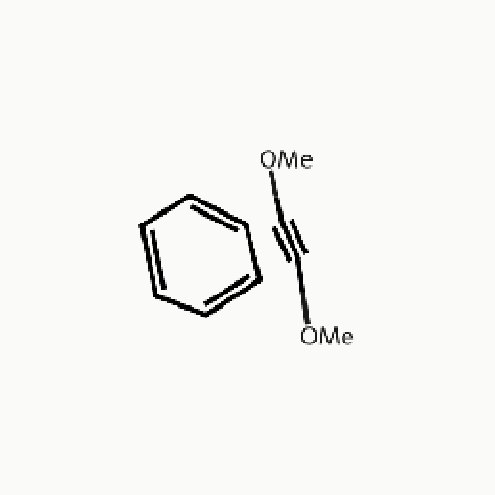 COC#COC.c1ccccc1